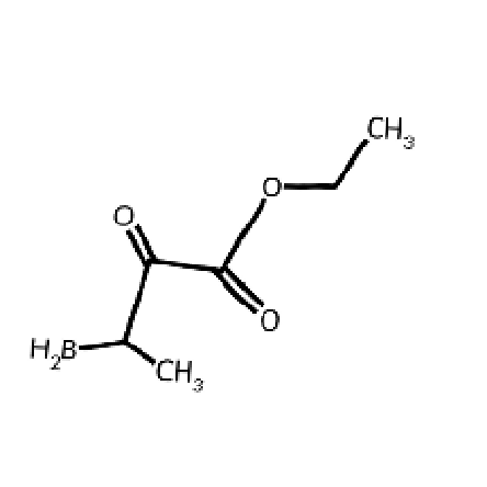 BC(C)C(=O)C(=O)OCC